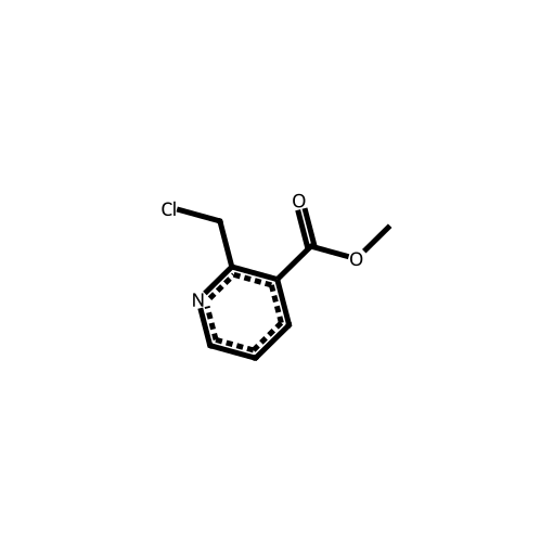 COC(=O)c1cccnc1CCl